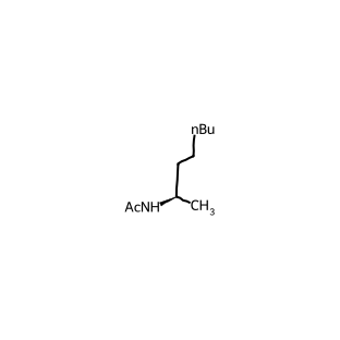 CCCCCC[C@@H](C)NC(C)=O